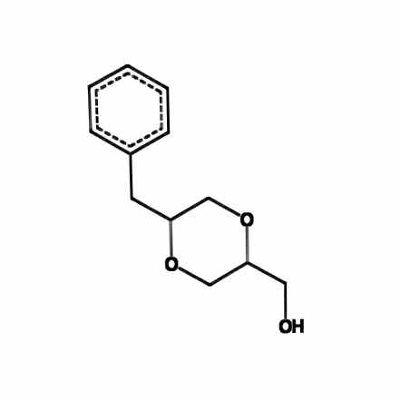 OCC1COC(Cc2ccccc2)CO1